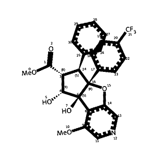 COC(=O)[C@H]1[C@@H](O)[C@@]2(O)c3c(OC)cncc3O[C@@]2(c2ccc(C(F)(F)F)cc2)[C@@H]1c1ccccc1